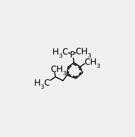 Cc1ccc(CC(C)C)cc1P(C)C